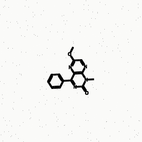 COc1cnc2c(n1)c(-c1ccccc1)nc(=O)n2C